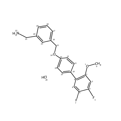 COc1cc(F)c(F)cc1-c1ccc(OCc2cccc(CN)c2)cc1.Cl